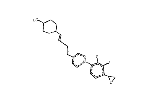 OC1CCC(C=CCCc2ccc(-c3ccc(C4CO4)c(F)c3F)cc2)CC1